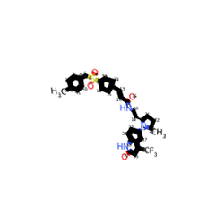 Cc1ccc(CS(=O)(=O)c2ccc(/C=C/C(=O)NCC[C@H]3CC[C@@H](C)N3c3ccc4[nH]c(=O)cc(C(F)(F)F)c4c3)cc2)cc1